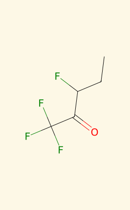 CCC(F)C(=O)C(F)(F)F